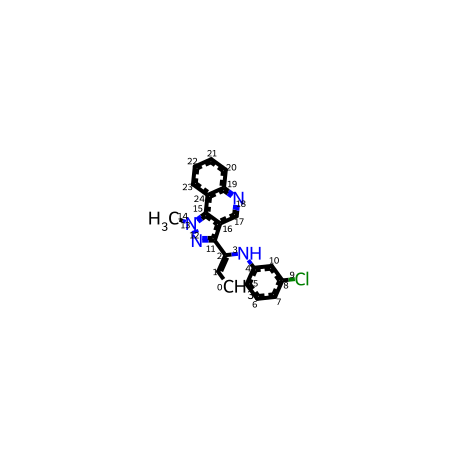 C/C=C(\Nc1cccc(Cl)c1)c1nn(C)c2c1cnc1ccccc12